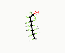 OC(F)(F)C(F)C(F)(F)C(F)(F)C(F)(F)C(F)(F)CF